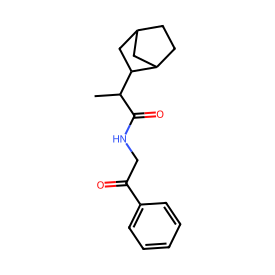 CC(C(=O)NCC(=O)c1ccccc1)C1CC2CCC1C2